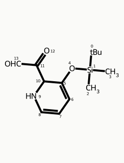 CC(C)(C)[Si](C)(C)OC1=CC=CNC1C(=O)C=O